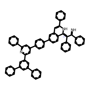 N=C(/C(=C1\NC(c2ccccc2)=Cc2cc(-c3ccc(-c4cc(-c5ccccc5)nc(-c5cc(-c6ccccc6)cc(-c6ccccc6)c5)c4)cc3)ccc21)c1ccccc1)c1ccccc1